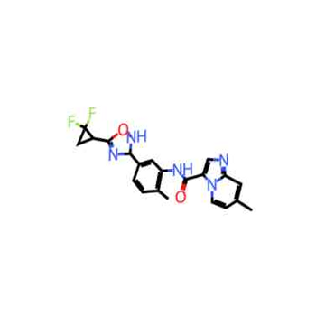 Cc1ccn2c(C(=O)Nc3cc(C4N=C(C5CC5(F)F)ON4)ccc3C)cnc2c1